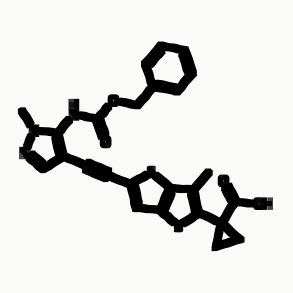 Cc1c(C2(C(=O)O)CC2)sc2cc(C#Cc3cnn(C)c3NC(=O)OCc3ccccc3)sc12